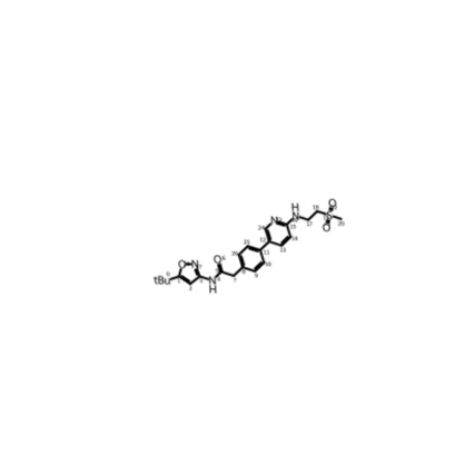 CC(C)(C)c1cc(NC(=O)Cc2ccc(-c3ccc(NCCS(C)(=O)=O)nc3)cc2)no1